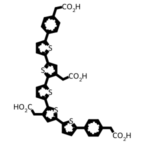 O=C(O)Cc1ccc(-c2ccc(-c3cc(CC(=O)O)c(-c4ccc(-c5sc(-c6ccc(-c7ccc(CC(=O)O)cc7)s6)cc5CC(=O)O)s4)s3)s2)cc1